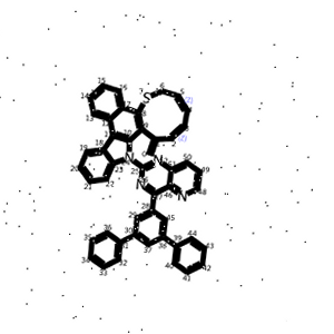 C=C1/C=C\C=C/CSc2c1c1c(c3ccccc23)c2ccccc2n1-c1nc(-c2cc(-c3ccccc3)cc(-c3ccccc3)c2)c2ncccc2n1